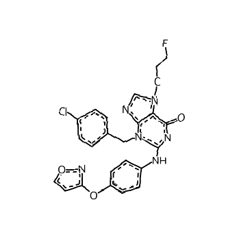 O=c1nc(Nc2ccc(Oc3ccon3)cc2)n(Cc2ccc(Cl)cc2)c2ncn(CCCF)c12